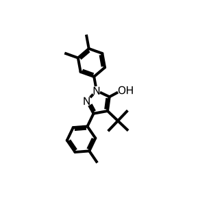 Cc1cccc(-c2nn(-c3ccc(C)c(C)c3)c(O)c2C(C)(C)C)c1